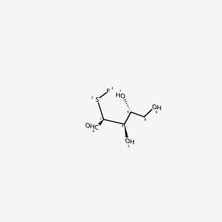 O=C[C@@H](SF)[C@H](O)[C@H](O)CO